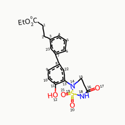 CCOC(=O)CCc1cccc(-c2ccc(O)c(N3CC(=O)NS3(=O)=O)c2)c1